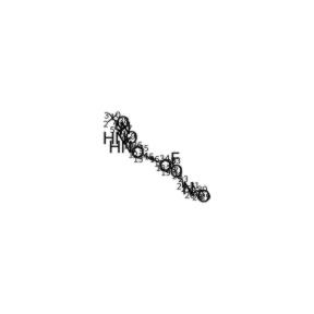 CC(C)(C)c1cc(NC(=O)Nc2ccc(C#Cc3ccc(OCCCN4CC5(COC5)C4)c(F)c3)cc2)no1